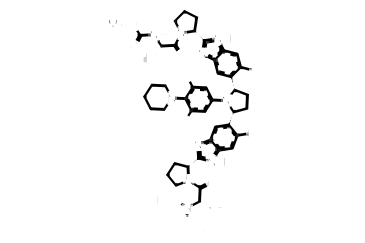 COC(=O)N[C@H](C(=O)N1CCC[C@H]1c1nc2cc([C@H]3CC[C@@H](c4cc5nc([C@@H]6CCCN6C(=O)[C@H](C(C)C)N(C)C(=O)O)[nH]c5cc4F)N3c3cc(F)c(N4CCCCC4)c(F)c3)c(F)cc2[nH]1)C(C)C